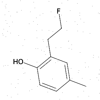 Cc1ccc(O)c(CCF)c1